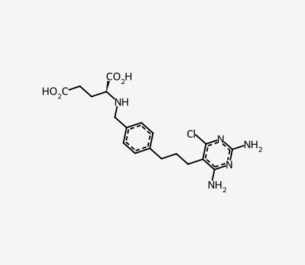 Nc1nc(N)c(CCCc2ccc(CN[C@@H](CCC(=O)O)C(=O)O)cc2)c(Cl)n1